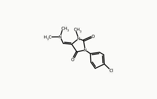 CN(C)C=C1C(=O)N(c2ccc(Cl)cc2)C(=O)N1C